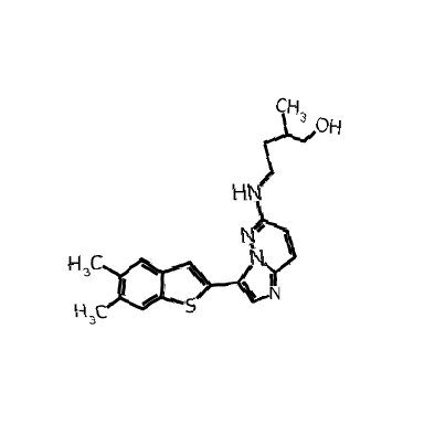 Cc1cc2cc(-c3cnc4ccc(NCCC(C)CO)nn34)sc2cc1C